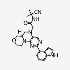 CC(C)(C#N)NC(=O)CN1C[C@@H]2COCCN2c2nc(-c3cccc4[nH]ccc34)ncc21